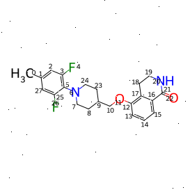 Cc1cc(F)c(N2CCC(COc3cccc4c3CCNC4=O)CC2)c(F)c1